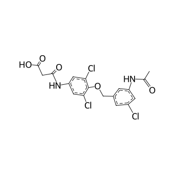 CC(=O)Nc1cc(Cl)cc(COc2c(Cl)cc(NC(=O)CC(=O)O)cc2Cl)c1